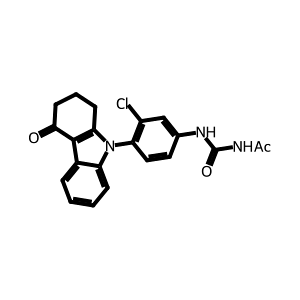 CC(=O)NC(=O)Nc1ccc(-n2c3c(c4ccccc42)C(=O)CCC3)c(Cl)c1